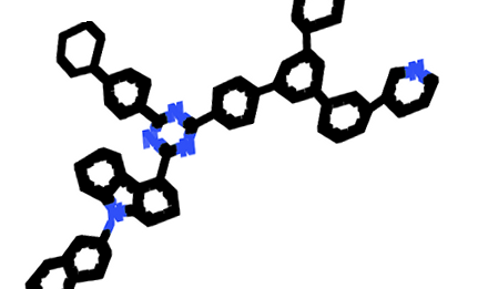 c1ccc(-c2cc(-c3ccc(-c4nc(-c5ccc(C6CCCCC6)cc5)nc(-c5cccc6c5c5ccccc5n6-c5ccc6ccccc6c5)n4)cc3)cc(-c3cccc(-c4cccnc4)c3)c2)cc1